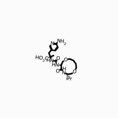 CC(C)[C@H]1COCCCCOC[C@@H](NC(=O)N[C@@](C)(Cc2ccc(N)nc2)C(=O)O)C(=O)N1